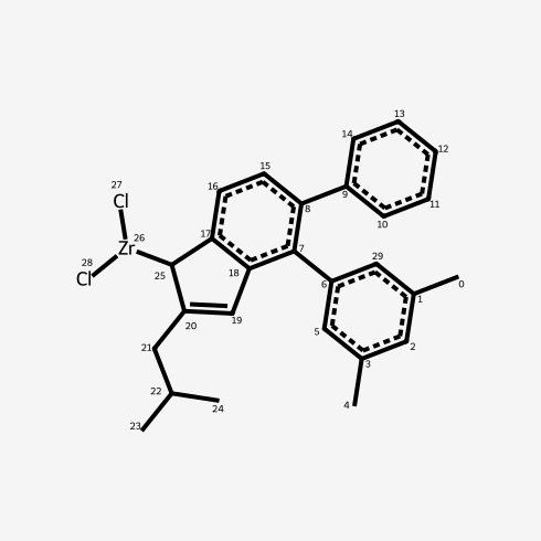 Cc1cc(C)cc(-c2c(-c3ccccc3)ccc3c2C=C(CC(C)C)[CH]3[Zr]([Cl])[Cl])c1